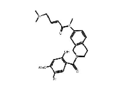 COc1cc(O)c(C(=O)N2CCc3ccc(N(C)C(=O)/C=C/CN(C)C)cc3C2)cc1C(C)C